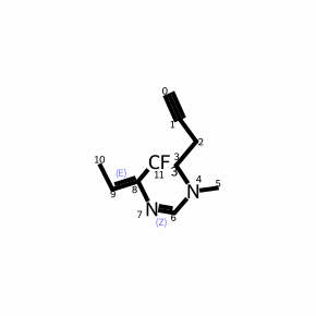 C#CCCN(C)/C=N\C(=C\C)C(F)(F)F